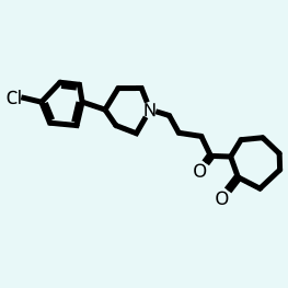 O=C1CCCCCC1C(=O)CCCN1CCC(c2ccc(Cl)cc2)CC1